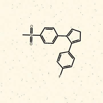 CS(=O)(=O)c1ccc(C2=CCC=C2c2ccc(F)cc2)cc1